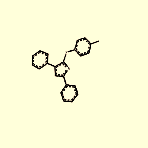 Cc1ccc(Sc2sc(-c3ccccc3)cc2-c2ccccc2)cc1